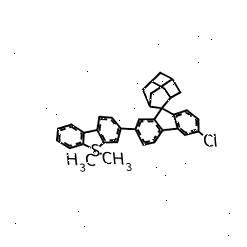 CS1(C)c2ccccc2-c2ccc(-c3ccc4c(c3)C3(c5ccc(Cl)cc5-4)C4CC5CC(C4)CC3C5)cc21